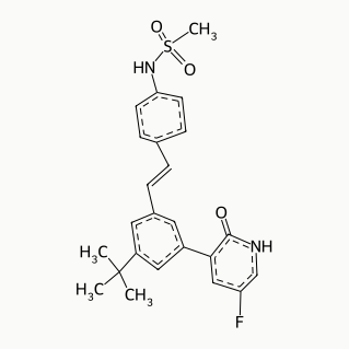 CC(C)(C)c1cc(C=Cc2ccc(NS(C)(=O)=O)cc2)cc(-c2cc(F)c[nH]c2=O)c1